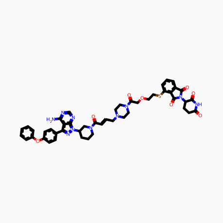 Nc1ncnc2c1c(-c1ccc(Oc3ccccc3)cc1)nn2C1CCCN(C(=O)/C=C/CN2CCN(C(=O)COCCSc3cccc4c3C(=O)N(C3CCC(=O)NC3=O)C4=O)CC2)C1